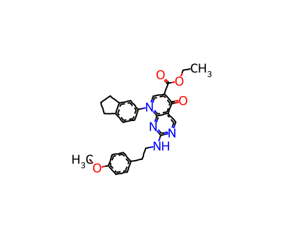 CCOC(=O)c1cn(-c2ccc3c(c2)CCC3)c2nc(NCCc3ccc(OC)cc3)ncc2c1=O